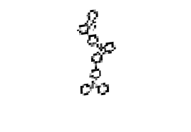 c1ccc(N(c2ccccc2)c2ccc(-c3ccc4c(c3)c3ccccc3n4-c3ccc(-c4cccc5c4sc4ccccc45)cc3)cc2)cc1